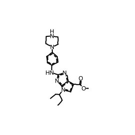 CCC(CC)n1cc(C(=O)OC)c2cnc(Nc3ccc(N4CCNCC4)cc3)nc21